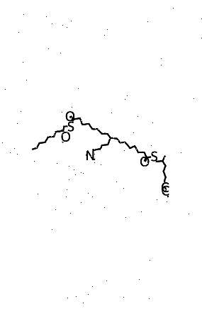 CCCCCCCC(C)CSC(=O)CCCCCCCC(CCCCCCCC(=O)SCC(CCCCCCC)OC)CCCCN(C)C